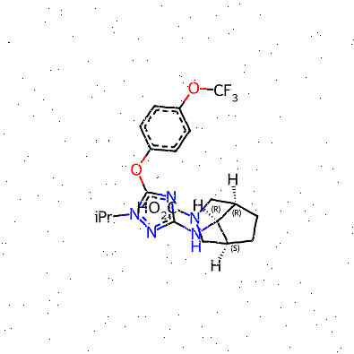 CC(C)n1nc(N[C@H]2[C@@H]3CC[C@H]2CN(C(=O)O)C3)nc1Oc1ccc(OC(F)(F)F)cc1